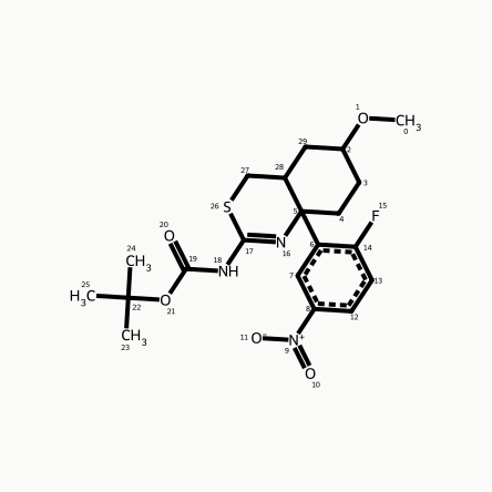 COC1CCC2(c3cc([N+](=O)[O-])ccc3F)N=C(NC(=O)OC(C)(C)C)SCC2C1